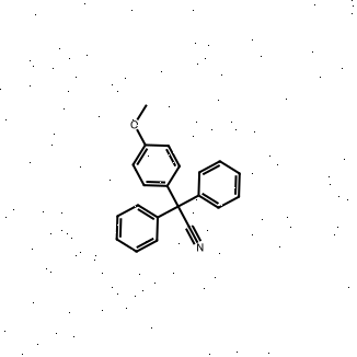 COc1ccc(C(C#N)(c2ccccc2)c2ccccc2)cc1